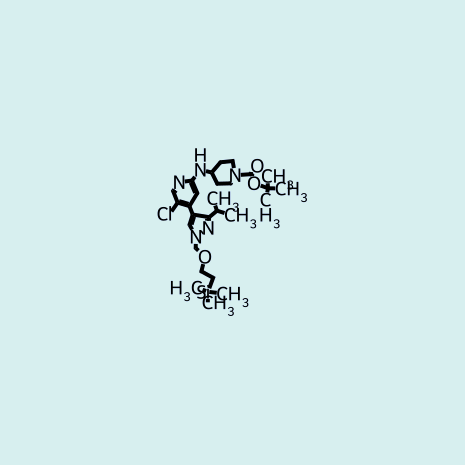 CC(C)c1nn(COCC[Si](C)(C)C)cc1-c1cc(NC2CCN(C(=O)OC(C)(C)C)CC2)ncc1Cl